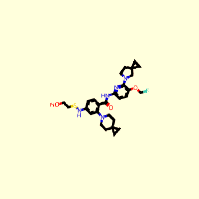 O=C(Nc1ccc(OCF)c(N2CCC3(CC3)C2)n1)c1ccc(NSCCO)cc1N1CCC2(CC1)CC2